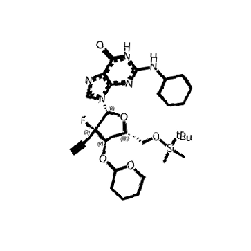 C#C[C@@]1(F)[C@H](OC2CCCCO2)[C@@H](CO[Si](C)(C)C(C)(C)C)O[C@H]1n1cnc2c(=O)[nH]c(NC3CCCCC3)nc21